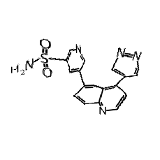 NS(=O)(=O)c1cncc(-c2ccc3nccc(-c4ccnnc4)c3c2)c1